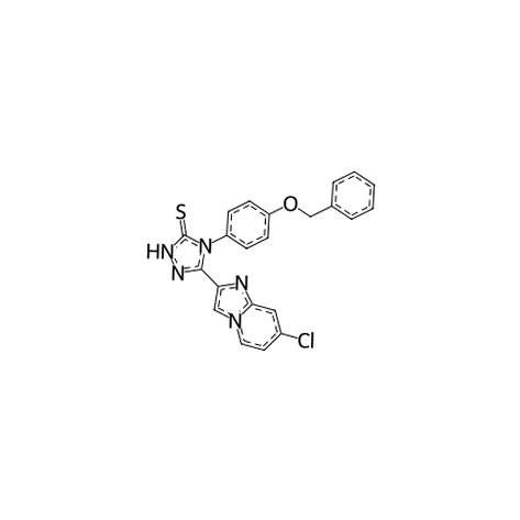 S=c1[nH]nc(-c2cn3ccc(Cl)cc3n2)n1-c1ccc(OCc2ccccc2)cc1